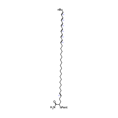 CCCC/C=C/C=C/C=C/C=C/C=C/C=C/CCCCCCCCCCCCCCCCC/C=C/CCC(CCCCC)C(N)=O